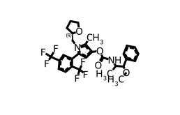 COC(c1ccccc1)C(C)NC(=O)Oc1cc(-c2cc(C(F)(F)F)ccc2C(F)(F)F)n(C[C@H]2CCCO2)c1C